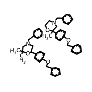 CC1(C)CN(Cc2ccccc2)CC(c2ccc(OCc3ccccc3)cc2)O1.CC1(c2ccc(OCc3ccccc3)cc2)CN(Cc2ccccc2)CCO1